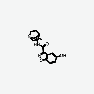 O=C(N[C@@H]1CN2CCC1CC2)c1nsc2ccc(O)cc12